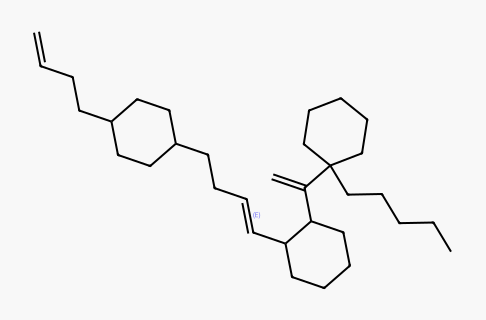 C=CCCC1CCC(CC/C=C/C2CCCCC2C(=C)C2(CCCCC)CCCCC2)CC1